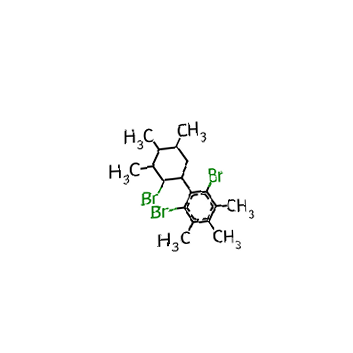 Cc1c(C)c(Br)c(C2CC(C)C(C)C(C)C2Br)c(Br)c1C